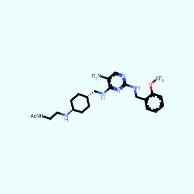 CC(=O)NCCN[C@H]1CC[C@H](CNc2nc(NCc3ccccc3OC(F)(F)F)ncc2[N+](=O)[O-])CC1